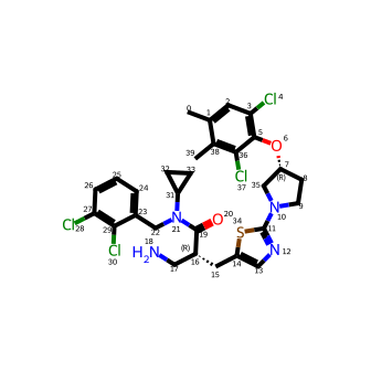 Cc1cc(Cl)c(O[C@@H]2CCN(c3ncc(C[C@H](CN)C(=O)N(Cc4cccc(Cl)c4Cl)C4CC4)s3)C2)c(Cl)c1C